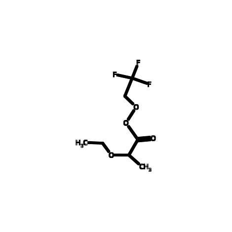 CCOC(C)C(=O)OOCC(F)(F)F